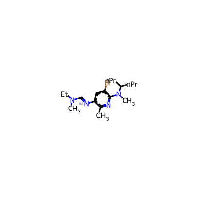 CCCC(CCC)N(C)c1nc(C)c(/N=C/N(C)CC)cc1Br